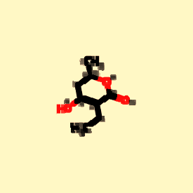 CCC1=C(O)C[C@@H](C)OC1=O